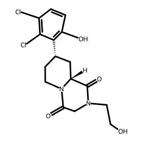 O=C1[C@H]2C[C@@H](c3c(O)ccc(Cl)c3Cl)CCN2C(=O)CN1CCO